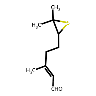 CC(=CC=O)CCC1SC1(C)C